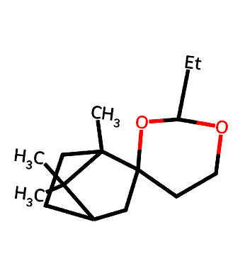 CCC1OCCC2(CC3CCC2(C)C3(C)C)O1